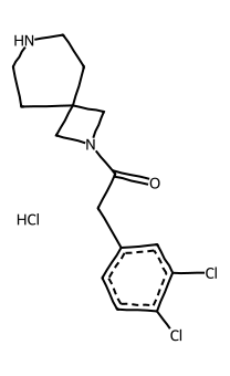 Cl.O=C(Cc1ccc(Cl)c(Cl)c1)N1CC2(CCNCC2)C1